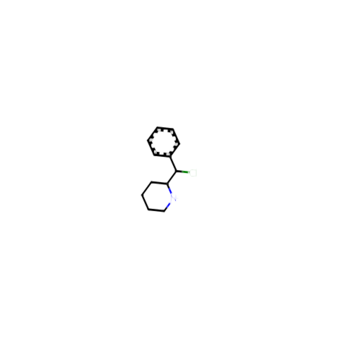 ClC(c1ccccc1)C1CCCC[N]1